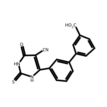 N#Cc1c(-c2cccc(-c3cccc(C(=O)O)c3)c2)[nH]c(=S)[nH]c1=O